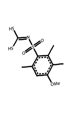 COc1cc(C)c(S(=O)(=O)N=C(S)S)c(C)c1C